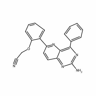 N#CCOc1ccccc1-c1ccc2nc(N)nc(-c3ccccc3)c2n1